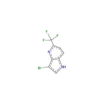 FC(F)(F)c1ccc2[nH]cc(Br)c2n1